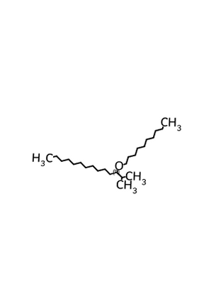 CCCCCCCCCCC[C@@H](OCCCCCCCCCC)C(C)C